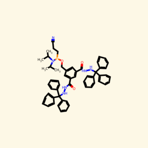 CC(C)N(C(C)C)P(CCC#N)OCc1cc(C(=O)NNC(c2ccccc2)(c2ccccc2)c2ccccc2)cc(C(=O)NNC(c2ccccc2)(c2ccccc2)c2ccccc2)c1